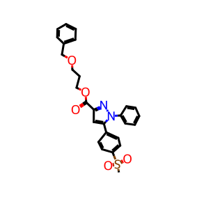 CS(=O)(=O)c1ccc(-c2cc(C(=O)OCCCOCc3ccccc3)nn2-c2ccccc2)cc1